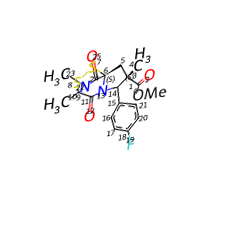 COC(=O)[C@@]1(C)C[C@@]23SSC(C)(C(=O)N2C1c1ccc(F)cc1)N(C)C3=O